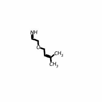 CC(C)=CCOCC=N